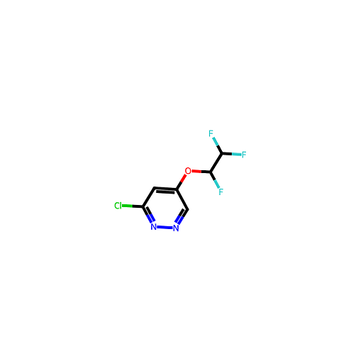 FC(F)C(F)Oc1cnnc(Cl)c1